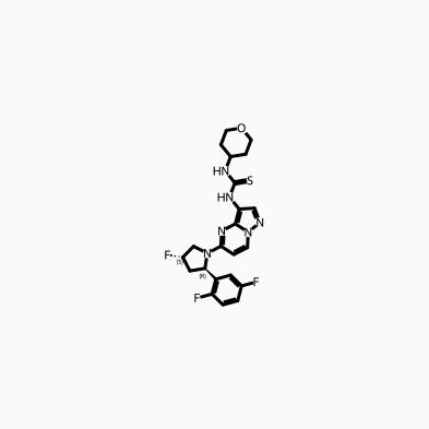 Fc1ccc(F)c([C@H]2C[C@H](F)CN2c2ccn3ncc(NC(=S)NC4CCOCC4)c3n2)c1